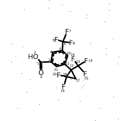 O=C(O)c1cc(C(F)(F)F)cc(C2(C(F)(F)F)CC2(F)F)c1